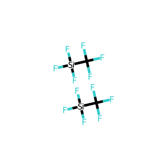 FC(F)(F)[Si](F)(F)F.FC(F)(F)[Si](F)(F)F